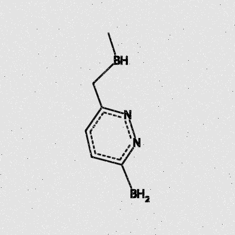 Bc1ccc(CBC)nn1